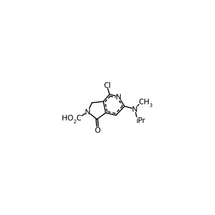 CC(C)N(C)c1cc2c(c(Cl)n1)CN(C(=O)O)C2=O